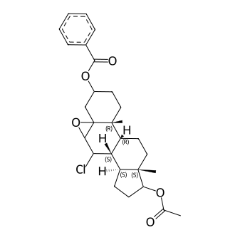 CC(=O)OC1CC[C@H]2[C@@H]3C(Cl)C4OC45CC(OC(=O)c4ccccc4)CC[C@]5(C)[C@@H]3CC[C@]12C